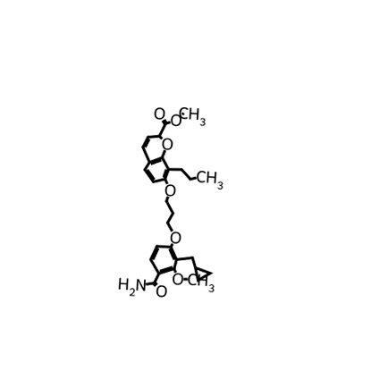 CCCc1c(OCCCOc2ccc(C(N)=O)c(OC)c2CC2CC2)ccc2c1OC(C(=O)OC)C=C2